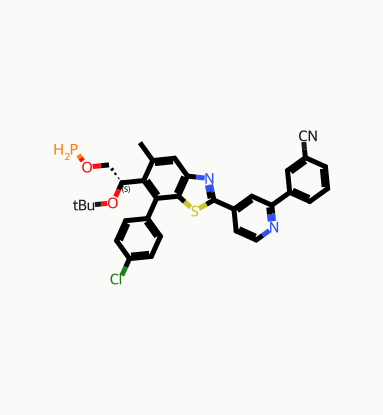 Cc1cc2nc(-c3ccnc(-c4cccc(C#N)c4)c3)sc2c(-c2ccc(Cl)cc2)c1[C@@H](COP)OC(C)(C)C